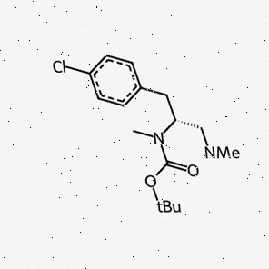 CNC[C@@H](Cc1ccc(Cl)cc1)N(C)C(=O)OC(C)(C)C